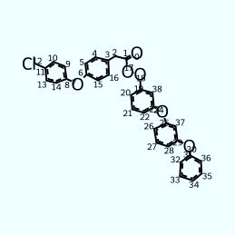 O=C(Cc1ccc(Oc2ccc(Cl)cc2)cc1)OOc1cccc(Oc2cccc(Oc3ccccc3)c2)c1